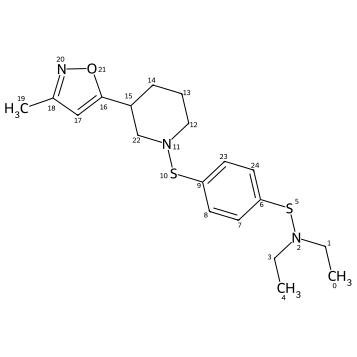 CCN(CC)Sc1ccc(SN2CCCC(c3cc(C)no3)C2)cc1